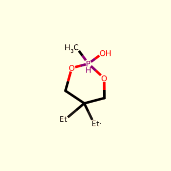 C[CH]C1(CC)CO[PH](C)(O)OC1